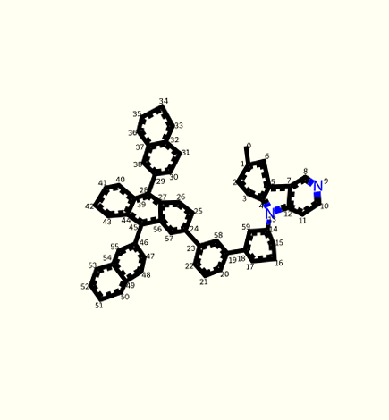 Cc1ccc2c(c1)c1cnccc1n2-c1cccc(-c2cccc(-c3ccc4c(-c5ccc6ccccc6c5)c5ccccc5c(-c5ccc6ccccc6c5)c4c3)c2)c1